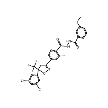 COc1cccc(C(=O)NNC(=O)c2ccc(C3=NOC(c4cc(Cl)cc(Cl)c4)(C(F)(F)F)C3)cc2C)c1